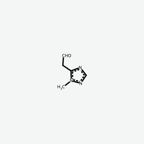 Cn1ncnc1CC=O